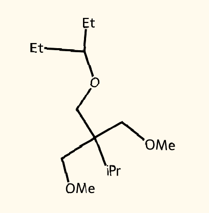 CCC(CC)OCC(COC)(COC)C(C)C